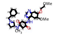 COCCOc1cc2ncnc(NC3=CC(=O)C(N(C)[C@H]4CCN(Cc5ccccc5)C4)=CC3=O)c2cc1OC